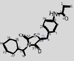 CCC(=O)Nc1ccc(/C=C2\SC(=O)N(C(C)C3CCCCC3)C2=O)cc1